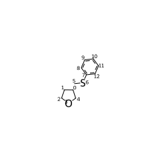 C1CCOC1.CSc1ccccc1